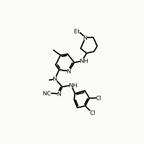 CCN1CCCC(Nc2cc(C)cc(N(C)/C(=N\C#N)Nc3ccc(Cl)c(Cl)c3)n2)C1